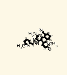 Cc1cccc(Cn2nc3c(N)nc(-c4ccccc4C#N)c(-c4ccc(=O)n(C)c4)c3n2)n1